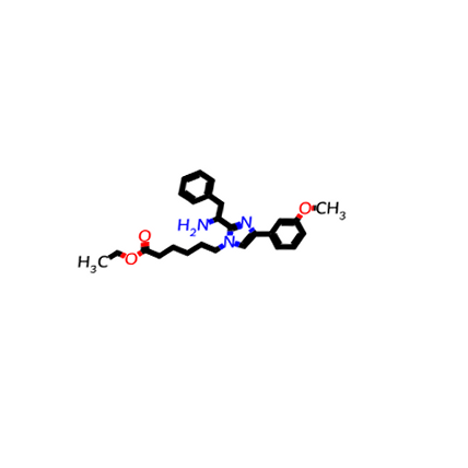 CCOC(=O)CCCCCn1cc(-c2cccc(OC)c2)nc1C(N)Cc1ccccc1